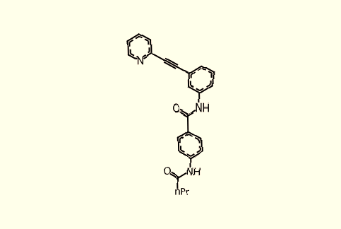 CCCC(=O)Nc1ccc(C(=O)Nc2cccc(C#Cc3ccccn3)c2)cc1